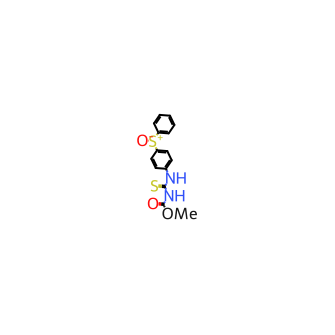 COC(=O)NC(=S)Nc1ccc([S+]([O-])c2ccccc2)cc1